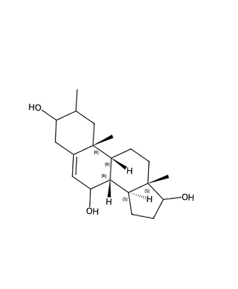 CC1C[C@@]2(C)C(=CC(O)[C@@H]3[C@H]2CC[C@]2(C)C(O)CC[C@@H]32)CC1O